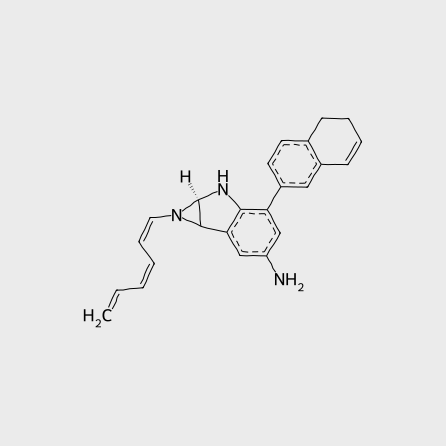 C=C/C=C\C=C/N1C2c3cc(N)cc(-c4ccc5c(c4)C=CCC5)c3N[C@@H]21